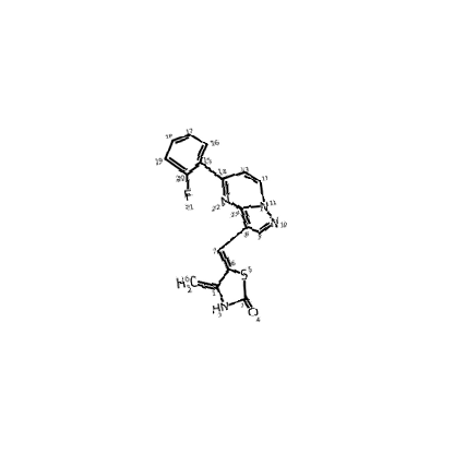 C=c1[nH]c(=O)s/c1=C\c1cnn2ccc(-c3ccccc3F)nc12